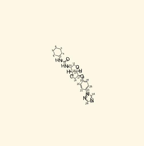 O=C(NC1CCCCC1)N[C@H]1CO[C@H]2[C@@H]1OC[C@@H]2Oc1ccc(-n2cncn2)cc1